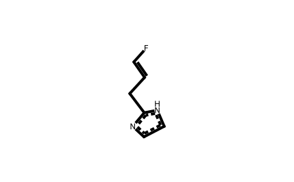 FC=CCc1ncc[nH]1